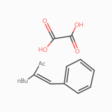 CCCCC(=Cc1ccccc1)C(C)=O.O=C(O)C(=O)O